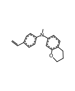 C=Cc1ccc(N(C)c2ccc3c(c2)OCCC3)cc1